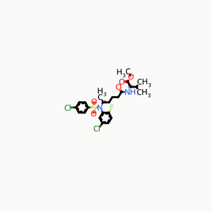 COC(=O)[C@@H](NC(=O)CCC[C@@H](C)N(c1cc(Cl)ccc1F)S(=O)(=O)c1ccc(Cl)cc1)C(C)C